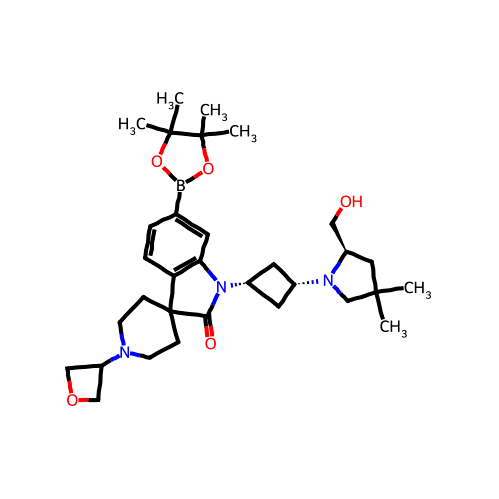 CC1(C)C[C@H](CO)N([C@H]2C[C@@H](N3C(=O)C4(CCN(C5COC5)CC4)c4ccc(B5OC(C)(C)C(C)(C)O5)cc43)C2)C1